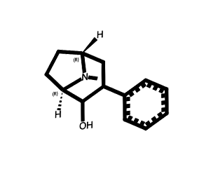 CN1[C@@H]2CC[C@@H]1C(O)C(c1ccccc1)C2